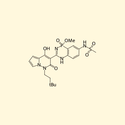 COP1(=O)N=C(c2c(O)c3cccn3n(CCC(C)(C)C)c2=O)Nc2ccc(NS(C)(=O)=O)cc21